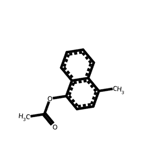 CC(=O)Oc1ccc(C)c2ccccc12